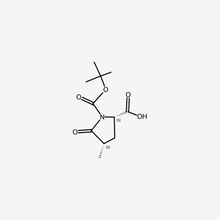 C[C@H]1C[C@@H](C(=O)O)N(C(=O)OC(C)(C)C)C1=O